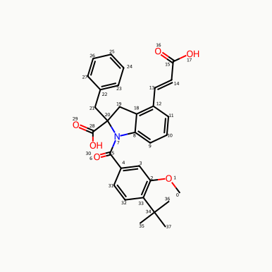 COc1cc(C(=O)N2c3cccc(C=CC(=O)O)c3CC2(Cc2ccccc2)C(=O)O)ccc1C(C)(C)C